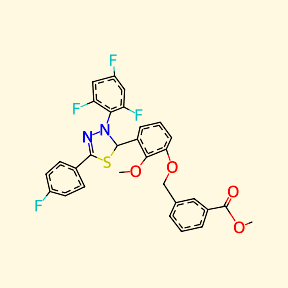 COC(=O)c1cccc(COc2cccc(C3SC(c4ccc(F)cc4)=NN3c3c(F)cc(F)cc3F)c2OC)c1